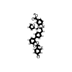 COC(=O)c1ccc2nc(Cc3ccc(-c4cccc5c4OC(C)(c4ccc(Cl)cc4F)O5)cc3)n(C[C@@H]3CCCO3)c2c1